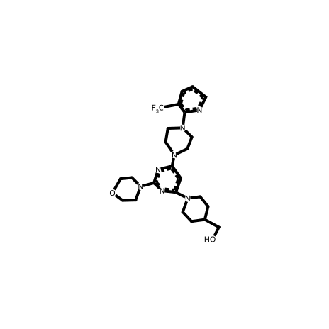 OCC1CCN(c2cc(N3CCN(c4ncccc4C(F)(F)F)CC3)nc(N3CCOCC3)n2)CC1